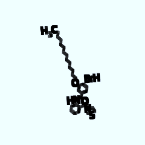 Br.CCCCCCCCCCCCCCOc1cccc(C(=O)Nc2ccccc2CN2C=CSC2)c1